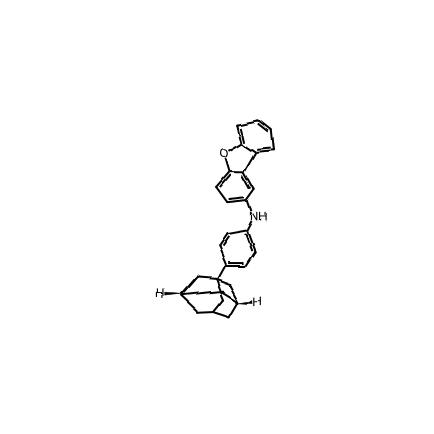 c1ccc2c(c1)oc1ccc(Nc3ccc(C45CC6C[C@H](C4)C[C@@H](C6)C5)cc3)cc12